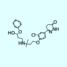 CC(C)(CCOc1ccc(C2=NNC(=O)CC2)cc1Cl)NCCC(O)Oc1ccccc1